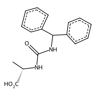 C[C@H](NC(=O)NC(c1ccccc1)c1ccccc1)C(=O)O